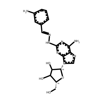 Nc1cccc(C=NNc2nc(N)c3ncn([C@@H]4O[C@H](CO)C(O)C4O)c3n2)c1